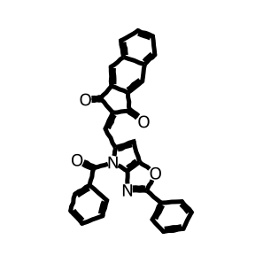 O=C1C(=Cc2cc3oc(-c4ccccc4)nc3n2C(=O)c2ccccc2)C(=O)c2cc3ccccc3cc21